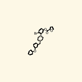 O=C(Oc1ccc(Br)c(N2CCN(Cc3cccc(Oc4ccccc4)c3)CC2)c1)c1ccco1